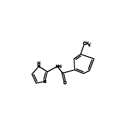 [CH2]c1cccc(C(=O)Nc2ncc[nH]2)c1